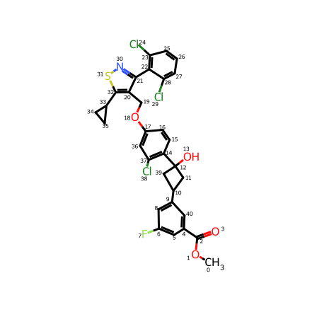 COC(=O)c1cc(F)cc(C2CC(O)(c3ccc(OCc4c(-c5c(Cl)cccc5Cl)nsc4C4CC4)cc3Cl)C2)c1